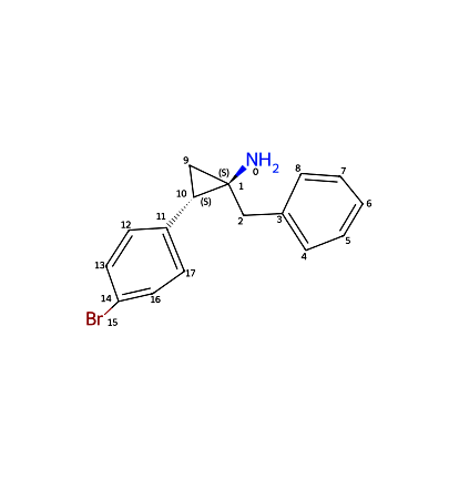 N[C@]1(Cc2ccccc2)C[C@H]1c1ccc(Br)cc1